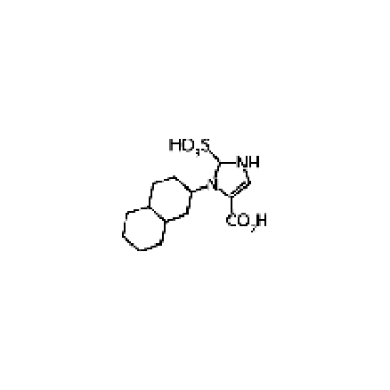 O=C(O)C1=CNC(S(=O)(=O)O)N1C1CCC2CCCCC2C1